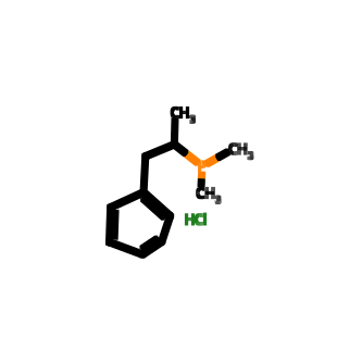 CC(Cc1ccccc1)P(C)C.Cl